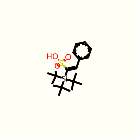 CC(C)(C)[Si](C(=Cc1ccccc1)S(=O)(=O)O)(C(C)(C)C)C(C)(C)C